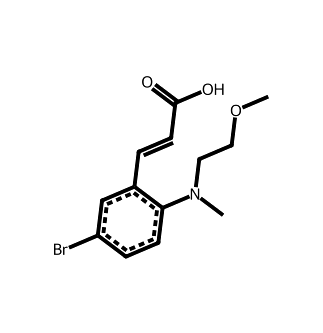 COCCN(C)c1ccc(Br)cc1/C=C/C(=O)O